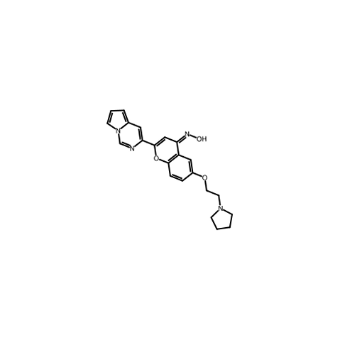 O/N=c1/cc(-c2cc3cccn3cn2)oc2ccc(OCCN3CCCC3)cc12